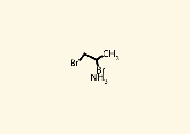 CC(Br)CBr.N